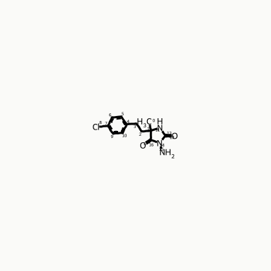 CC1(CCc2ccc(Cl)cc2)NC(=O)N(N)C1=O